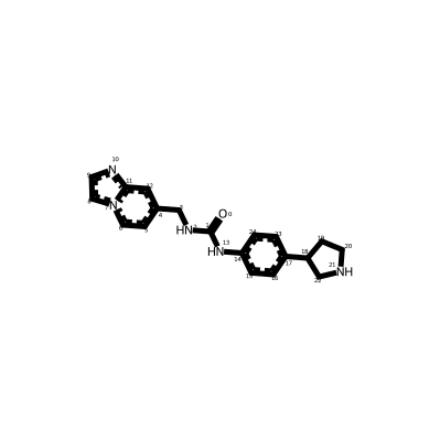 O=C(NCc1ccn2ccnc2c1)Nc1ccc(C2CCNC2)cc1